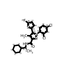 Cc1c(C(=O)N[C@@H](C)C2CCCCC2)nn(-c2ccc(Cl)cc2Cl)c1-c1ccc(F)s1